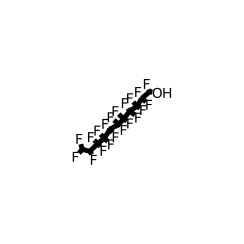 OC(F)C(F)(F)C(F)(F)C(F)(F)C(F)(F)C(F)(F)C(F)(F)C(F)(F)C(F)(F)C(F)C(F)F